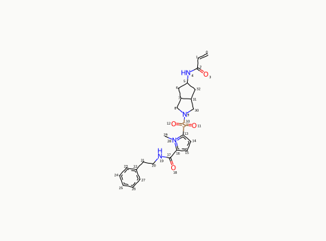 C=CC(=O)NC1CC2CN(S(=O)(=O)c3ccc(C(=O)NCCc4ccccc4)n3C)CC2C1